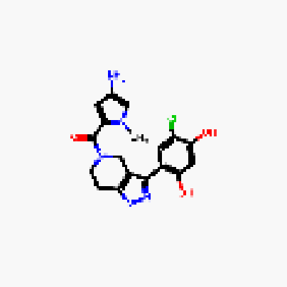 Cn1cc(N)cc1C(=O)N1CCc2[nH]nc(-c3cc(Cl)c(O)cc3O)c2C1